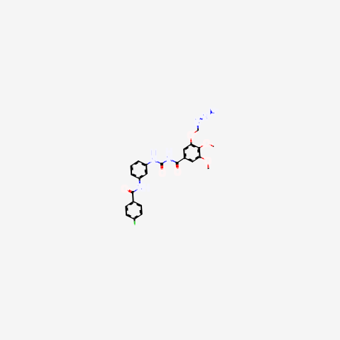 COc1cc(C(=O)NC(=O)Nc2cccc(NC(=O)c3ccc(Cl)cc3)c2)cc(OCN=[N+]=[N-])c1OC